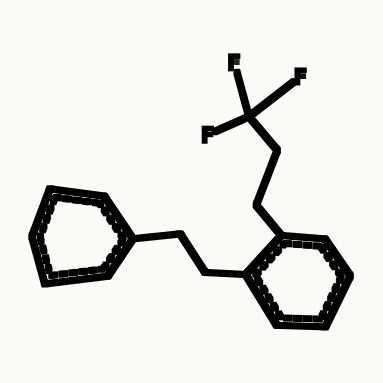 FC(F)(F)CCc1ccccc1CCc1ccccc1